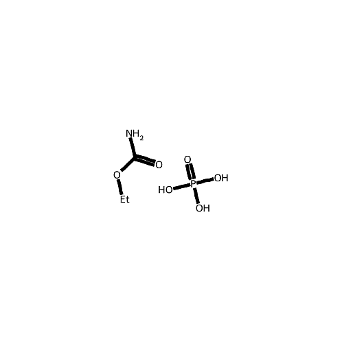 CCOC(N)=O.O=P(O)(O)O